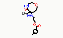 CCc1nn(CCCOC(=O)C2=CC=C(C)C2)c2c1C(=O)NCCCOCCC2